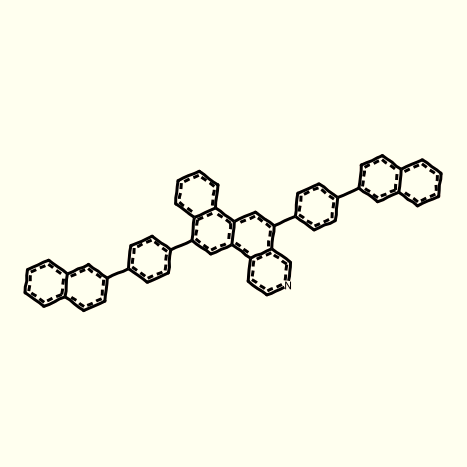 c1ccc2cc(-c3ccc(-c4cc5c6ccncc6c(-c6ccc(-c7ccc8ccccc8c7)cc6)cc5c5ccccc45)cc3)ccc2c1